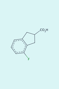 O=C(O)C1Cc2cccc(F)c2C1